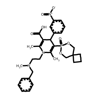 CC1=C(C(=O)O)C(c2cccc([N+](=O)[O-])c2)C(P2(=O)OCC3(CCC3)CO2)=C(C)N1CCN(C)Cc1ccccc1